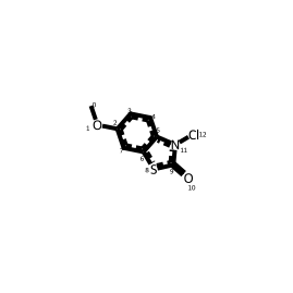 COc1ccc2c(c1)sc(=O)n2Cl